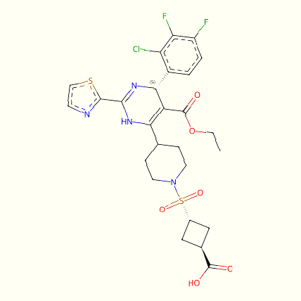 CCOC(=O)C1=C(C2CCN(S(=O)(=O)[C@H]3C[C@H](C(=O)O)C3)CC2)NC(c2nccs2)=N[C@@H]1c1ccc(F)c(F)c1Cl